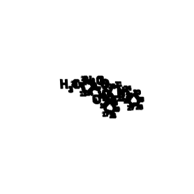 COCC1(N(C(=O)Cc2ccc(C)cc2)c2ccccc2)CCN(Cc2ccccc2)CC1